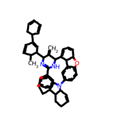 C=C1C(C2=CC=CC3Oc4ccc(N5C6=C(CCC=C6)C6CCC=CC65)cc4C23)NC(c2ccccc2)=NC1C1C=C(C2C=CC=CC2)C=CC1C